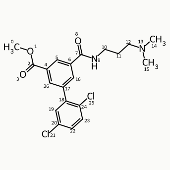 COC(=O)c1cc(C(=O)NCCCN(C)C)cc(-c2cc(Cl)ccc2Cl)c1